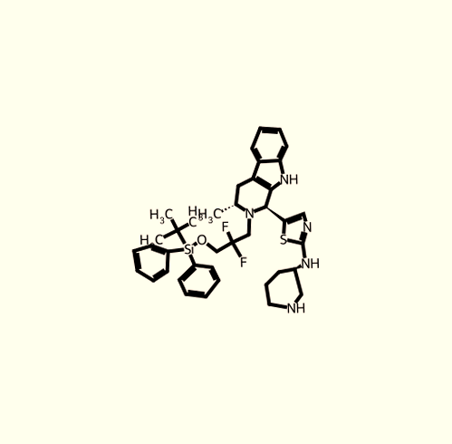 C[C@@H]1Cc2c([nH]c3ccccc23)[C@@H](c2cnc(N[C@@H]3CCCNC3)s2)N1CC(F)(F)CO[Si](c1ccccc1)(c1ccccc1)C(C)(C)C